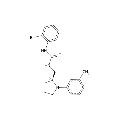 Cc1cccc(N2CCC[C@H]2CNC(=O)Nc2ccccc2Br)c1